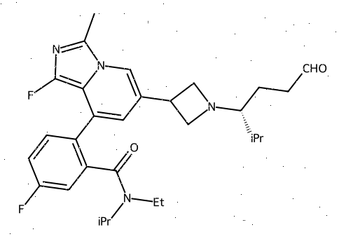 CCN(C(=O)c1cc(F)ccc1-c1cc(C2CN([C@H](CCC=O)C(C)C)C2)cn2c(C)nc(F)c12)C(C)C